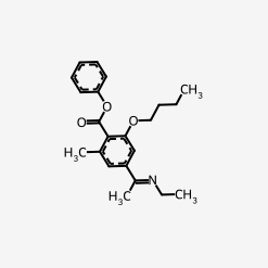 CCCCOc1cc(/C(C)=N/CC)cc(C)c1C(=O)Oc1ccccc1